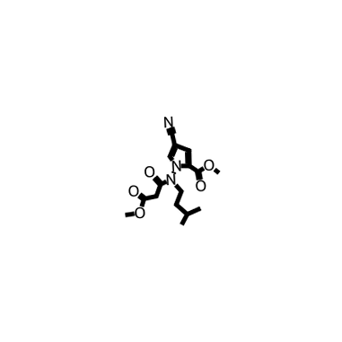 COC(=O)CC(=O)N(CCC(C)C)n1cc(C#N)cc1C(=O)OC